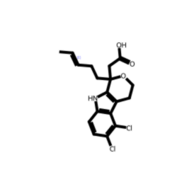 C/C=C/CCC1(CC(=O)O)OCCc2c1[nH]c1ccc(Cl)c(Cl)c21